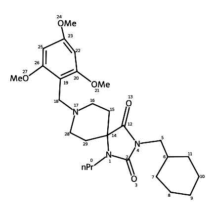 CCCN1C(=O)N(CC2CCCCC2)C(=O)C12CCN(Cc1c(OC)cc(OC)cc1OC)CC2